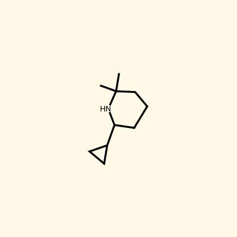 CC1(C)CCCC(C2CC2)N1